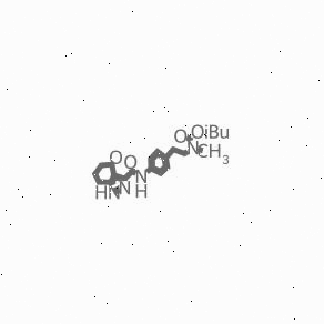 CC(C)COC(=O)N(C)CCc1ccc(NC(=O)c2n[nH]c3c2C(=O)CCC3)cc1